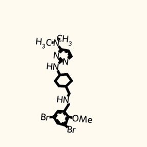 COc1c(Br)cc(Br)cc1CNCC1CCC(Nc2nccc(N(C)C)n2)CC1